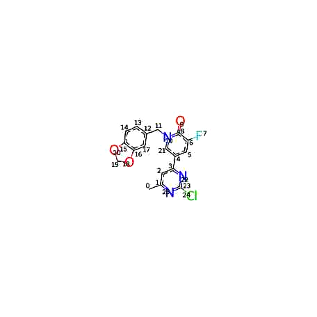 Cc1cc(-c2cc(F)c(=O)n(Cc3ccc4c(c3)OCO4)c2)nc(Cl)n1